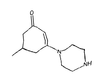 CC1CC(=O)C=C(N2CCNCC2)C1